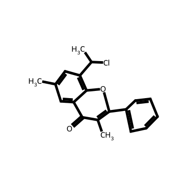 Cc1cc(C(C)Cl)c2oc(-c3ccccc3)c(C)c(=O)c2c1